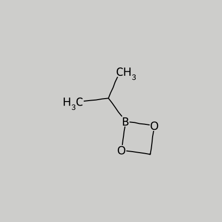 CC(C)B1OCO1